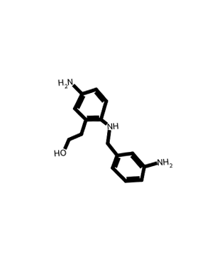 Nc1cccc(CNc2ccc(N)cc2CCO)c1